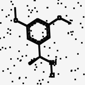 COc1cc(OC)cc([C@H](C)NCl)c1